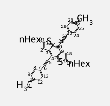 CCCCCCc1cc2c(C#Cc3ccc(C)cc3)c3sc(CCCCCC)cc3c(C#Cc3ccc(C)cc3)c2s1